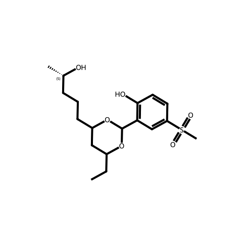 CCC1CC(CCC[C@H](C)O)OC(c2cc(S(C)(=O)=O)ccc2O)O1